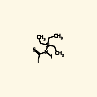 CC[Si](CC)(CC)N(I)C(=S)I